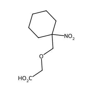 O=C(O)COCC1([N+](=O)[O-])CCCCC1